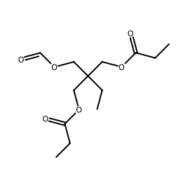 CCC(=O)OCC(CC)(COC=O)COC(=O)CC